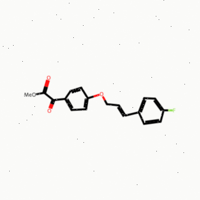 COC(=O)C(=O)c1ccc(OC/C=C/c2ccc(F)cc2)cc1